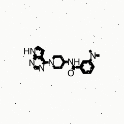 CN(C)c1cccc(C(=O)NC2CCN(c3ncnc4[nH]ccc34)CC2)c1